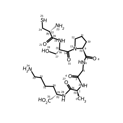 C[C@H](NC(=O)CNC(=O)[C@@H]1CCCN1C(=O)[C@H](CO)NC(=O)[C@@H](N)CS)C(=O)N[C@@H](CCCCN)C(=O)O